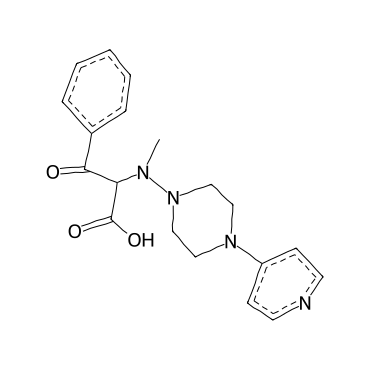 CN(C(C(=O)O)C(=O)c1ccccc1)N1CCN(c2ccncc2)CC1